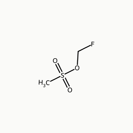 CS(=O)(=O)OCF